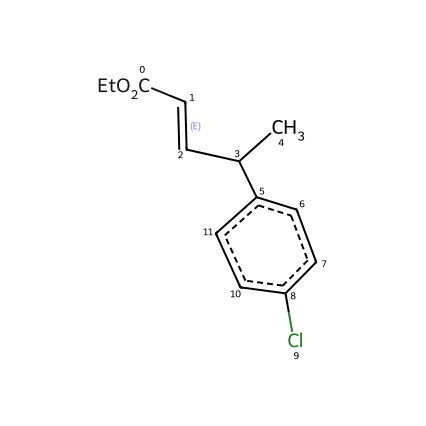 CCOC(=O)/C=C/C(C)c1ccc(Cl)cc1